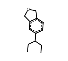 CCC(CC)c1ccc2c(c1)COC2